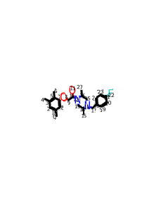 Cc1cc(C)c(C)c(OCC(=O)N2CC(C)N(Cc3ccc(F)cc3)CC2C)c1